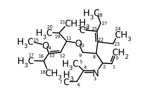 C=CC(/N=C(\C)CC)C(COC(/C=C(\OC)C(C)C)C(C)C)/C(CC)=C(\C)CC